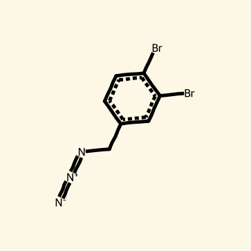 [N-]=[N+]=NCc1ccc(Br)c(Br)c1